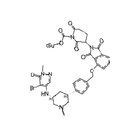 CN1C[C@H](Nc2cnn(C)c(=O)c2Br)C[C@H](c2ccc(COc3cccc4c3C(=O)N(C3CCC(=O)N(C(=O)OC(C)(C)C)C3=O)C4=O)cc2)C1